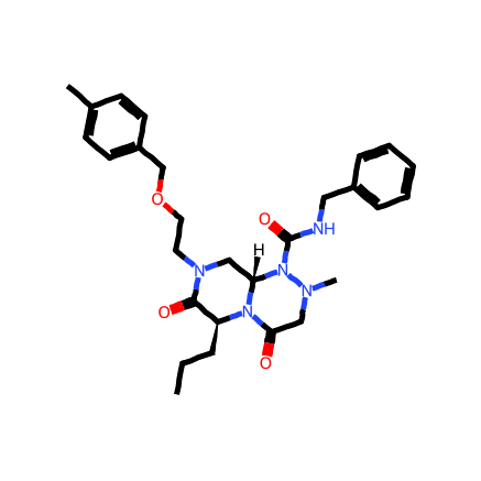 CCC[C@H]1C(=O)N(CCOCc2ccc(C)cc2)C[C@H]2N1C(=O)CN(C)N2C(=O)NCc1ccccc1